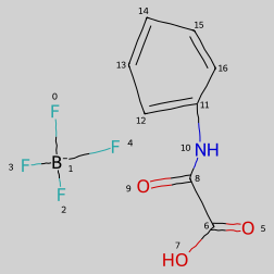 F[B-](F)(F)F.O=C(O)C(=O)Nc1ccccc1